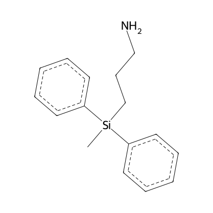 C[Si](CCCN)(c1ccccc1)c1ccccc1